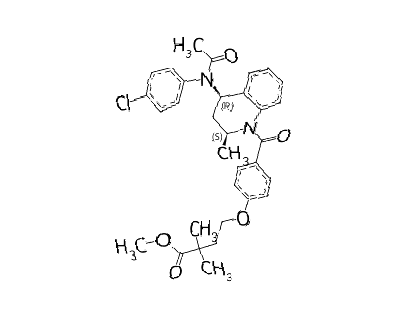 COC(=O)C(C)(C)CCOc1ccc(C(=O)N2c3ccccc3[C@H](N(C(C)=O)c3ccc(Cl)cc3)C[C@@H]2C)cc1